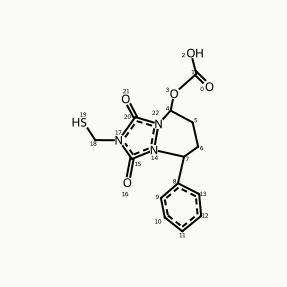 O=C(O)OC1CCC(c2ccccc2)n2c(=O)n(CS)c(=O)n21